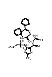 COCC(C)(C)Nc1sc(C(F)(F)F)nc1C(=N)OC(=N)N[C@H]1N=C(c2ccccc2)c2ccccc2NC1=O